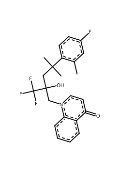 Cc1cc(F)ccc1C(C)(C)CC(O)(Cn1ccc(=O)c2ccccc21)C(F)(F)F